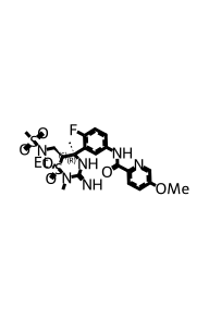 CCN(C[C@H]1[C@@](C)(c2cc(NC(=O)c3ccc(OC)cn3)ccc2F)NC(=N)N(C)S1(=O)=O)S(C)(=O)=O